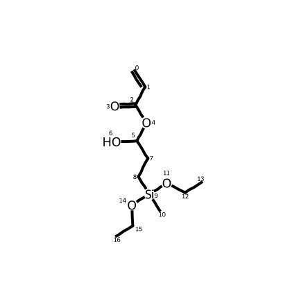 C=CC(=O)OC(O)CC[Si](C)(OCC)OCC